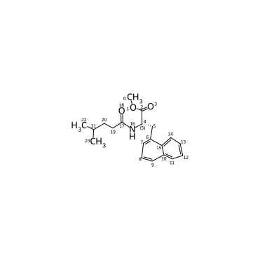 COC(=O)[C@H](Cc1cccc2ccccc12)NC(=O)CCC(C)C